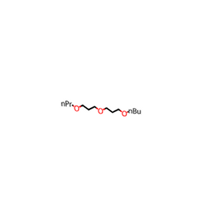 [CH2]CCCOCCCOCCCOCCC